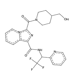 O=C(NC(c1ccccn1)C(F)(F)F)c1nc(C(=O)N2CCC(CO)CC2)n2ccccc12